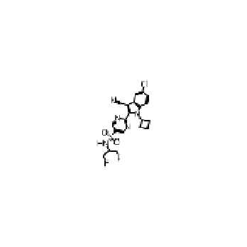 N#Cc1c(-c2ncc(S(=O)(=O)NC(CF)CF)cn2)n(C2CCC2)c2ccc(Cl)cc12